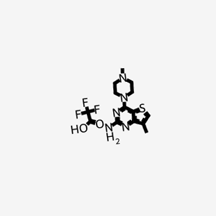 Cc1csc2c(N3CCN(C)CC3)nc(N)nc12.O=C(O)C(F)(F)F